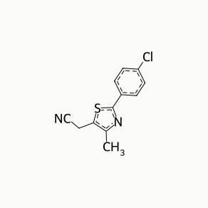 Cc1nc(-c2ccc(Cl)cc2)sc1CC#N